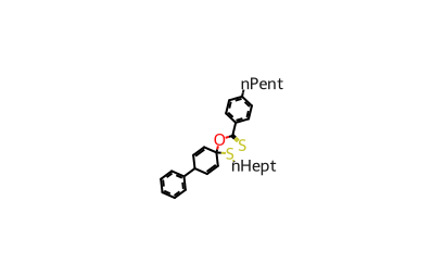 CCCCCCCSC1(OC(=S)c2ccc(CCCCC)cc2)C=CC(c2ccccc2)C=C1